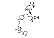 Cc1oc(-c2ccccc2)nc1CCOc1ccc(C[C@@H]2C[C@H](C(=O)O)CN2c2nccc(C(F)(F)F)n2)cc1